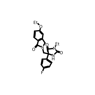 CCOc1ccc2c(c1)CN(CC1(c3ccc(F)cc3)NC(=O)N(CC)C1=O)C2=O